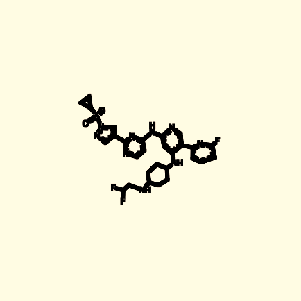 O=S(=O)(C1CC1)n1cc(-c2nccc(Nc3cc(NC4CCC(NCC(F)F)CC4)c(-c4cccc(F)n4)cn3)n2)cn1